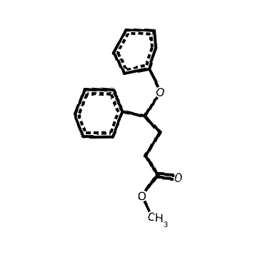 COC(=O)CCC(Oc1ccccc1)c1ccccc1